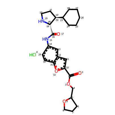 Cl.O=C(OCC1CCCO1)c1cc2cc(NC(=O)[C@@H]3NCC[C@H]3C3CCCCC3)ccc2o1